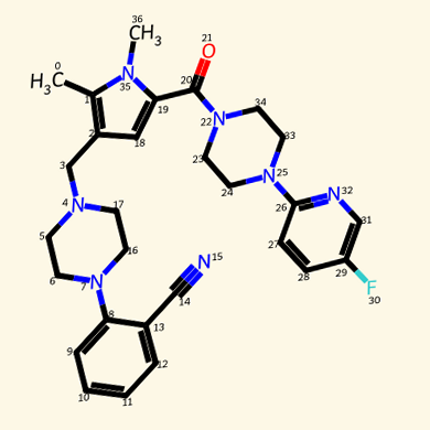 Cc1c(CN2CCN(c3ccccc3C#N)CC2)cc(C(=O)N2CCN(c3ccc(F)cn3)CC2)n1C